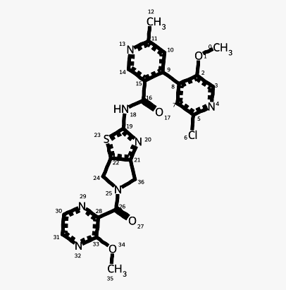 COc1cnc(Cl)cc1-c1cc(C)ncc1C(=O)Nc1nc2c(s1)CN(C(=O)c1nccnc1OC)C2